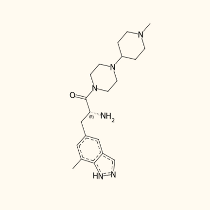 Cc1cc(C[C@@H](N)C(=O)N2CCN(C3CCN(C)CC3)CC2)cc2cn[nH]c12